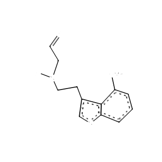 C=CCN(C)CCc1c[nH]c2cccc(OC)c12